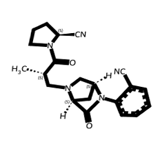 C[C@@H](CN1C[C@@H]2C[C@H]1C(=O)N2c1ccccc1C#N)C(=O)N1CCC[C@H]1C#N